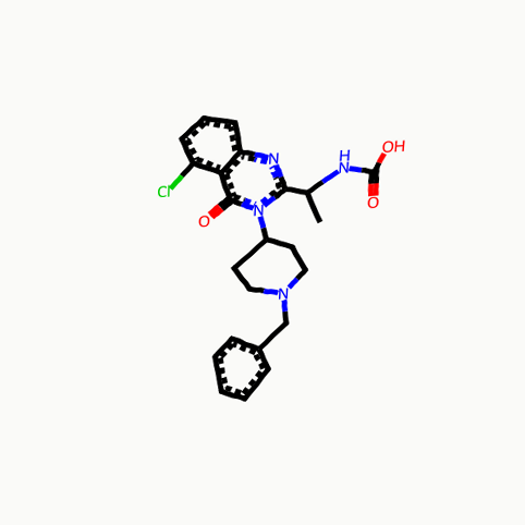 CC(NC(=O)O)c1nc2cccc(Cl)c2c(=O)n1C1CCN(Cc2ccccc2)CC1